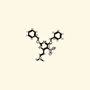 CN(C)C=Cc1nc(OCc2ccccc2)nc(OCc2ccccc2)c1[N+](=O)[O-]